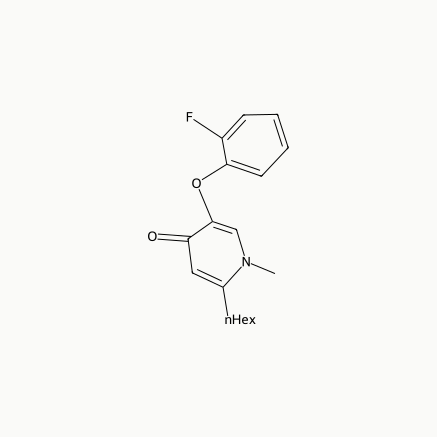 CCCCCCc1cc(=O)c(Oc2ccccc2F)cn1C